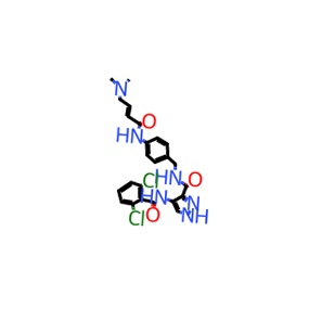 CN(C)C/C=C/C(=O)Nc1ccc(CNC(=O)c2n[nH]cc2NC(=O)c2c(Cl)cccc2Cl)cc1